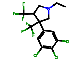 [CH2]CN1CC(C(F)(F)F)C(c2cc(Cl)c(Cl)c(Cl)c2)(C(F)(F)F)C1